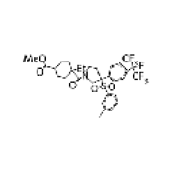 CCC1(C(=O)N2CCC(c3ccc(C(F)(C(F)(F)F)C(F)(F)F)cc3)(S(=O)(=O)c3cccc(C)c3)C2)CCC(C(=O)OC)CC1